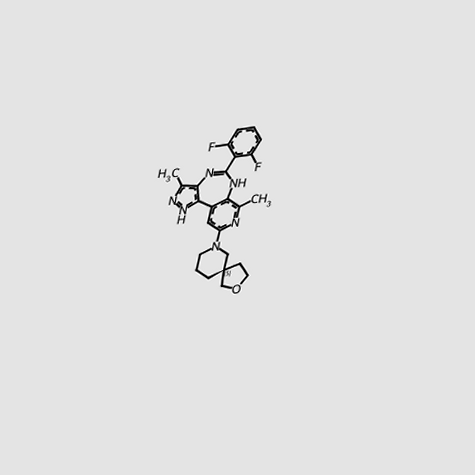 Cc1n[nH]c2c1N=C(c1c(F)cccc1F)Nc1c-2cc(N2CCC[C@]3(CCOC3)C2)nc1C